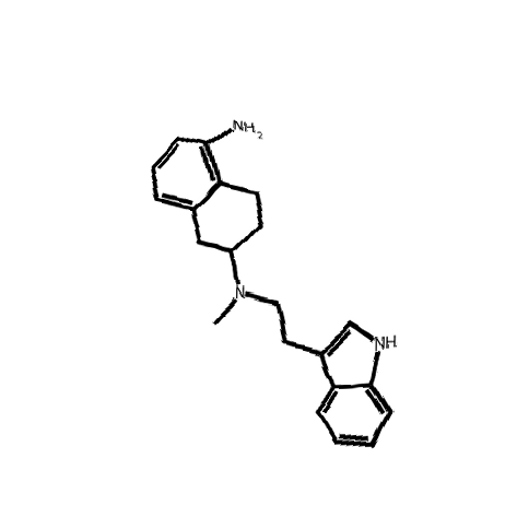 CN(CCc1c[nH]c2ccccc12)C1CCc2c(N)cccc2C1